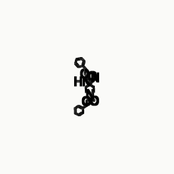 N#CC1(NC(=O)OCc2ccccc2)CCN(C(=O)OCc2ccccc2)CC1